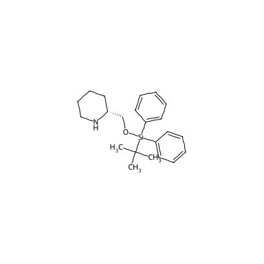 CC(C)(C)[Si](OC[C@H]1CCCCN1)(c1ccccc1)c1ccccc1